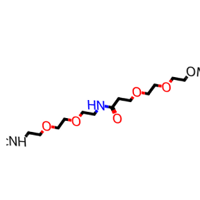 COCCOCCOCCC(=O)NCCOCCOCCNC(C)=O